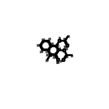 CC(=O)Oc1c(OC(C)=O)c2ccccc2n(C)c1=O